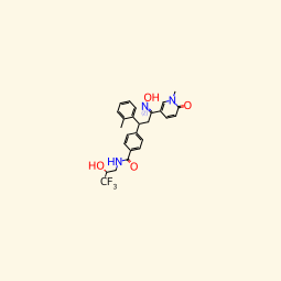 Cc1ccccc1C(C/C(=N/O)c1ccc(=O)n(C)c1)c1ccc(C(=O)NCC(O)C(F)(F)F)cc1